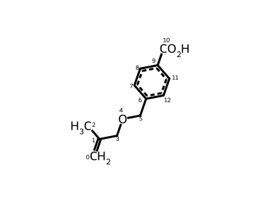 C=C(C)COCc1ccc(C(=O)O)cc1